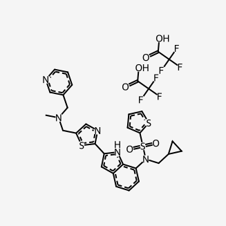 CN(Cc1cccnc1)Cc1cnc(-c2cc3cccc(N(CC4CC4)S(=O)(=O)c4cccs4)c3[nH]2)s1.O=C(O)C(F)(F)F.O=C(O)C(F)(F)F